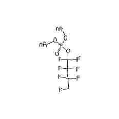 CCCOP(=O)(OCCC)OC(F)(F)C(F)(F)C(F)(F)CF